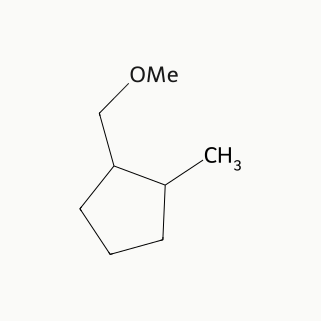 COCC1CCCC1C